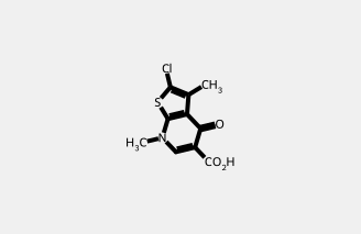 Cc1c(Cl)sc2c1c(=O)c(C(=O)O)cn2C